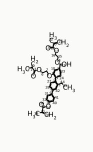 C=C(C)C(=O)OCCOc1cc(C(O)OCCOC(=O)C(=C)C)ccc1-c1ccc(-c2ccc(OC(=O)C(=C)C)cc2)cc1CC